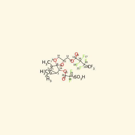 CC1(C)C2CCC1(C)C1(OCC(COC(=O)C(F)(F)C(F)(F)C(F)(F)F)O1)C2OC(=O)C(F)(F)S(=O)(=O)O